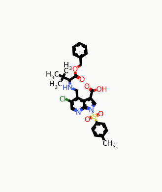 Cc1ccc(S(=O)(=O)n2cc(C(=O)O)c3c(CNC(C(=O)OCc4ccccc4)C(C)(C)C)c(Cl)cnc32)cc1